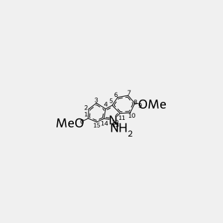 COc1ccc2c3ccc(OC)cc3n(N)c2c1